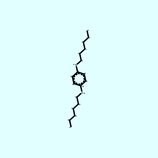 CCCCCCSc1ccc(SCCCCCC)cc1